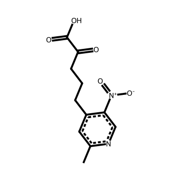 Cc1cc(CCCC(=O)C(=O)O)c([N+](=O)[O-])cn1